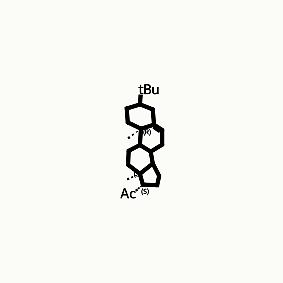 CC(=O)[C@H]1CCC2C3CC=C4CC(C(C)(C)C)CC[C@]4(C)C3CC[C@@]21C